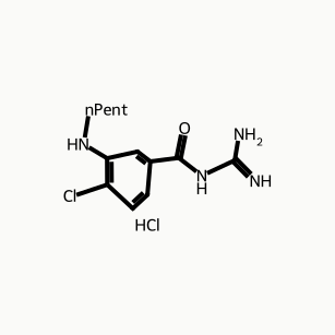 CCCCCNc1cc(C(=O)NC(=N)N)ccc1Cl.Cl